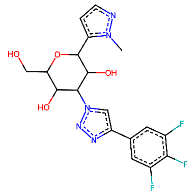 Cn1nccc1C1OC(CO)C(O)C(n2cc(-c3cc(F)c(F)c(F)c3)nn2)C1O